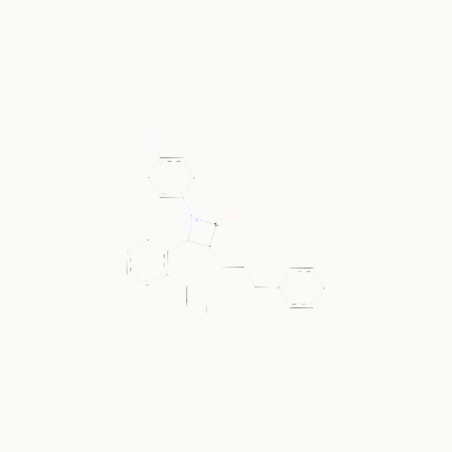 O=C(O)Cc1ccccc1C1C(CCCc2ccccc2)C(=O)N1c1ccc(F)cc1